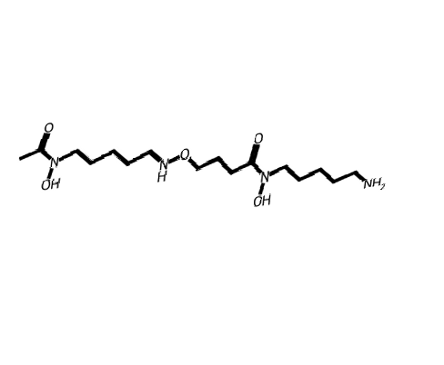 CC(=O)N(O)CCCCCNOCCCC(=O)N(O)CCCCCN